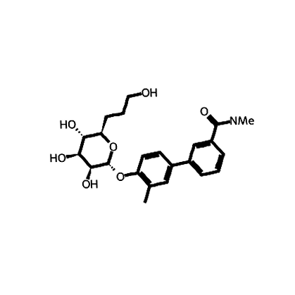 CNC(=O)c1cccc(-c2ccc(O[C@H]3O[C@H](CCCO)[C@@H](O)[C@H](O)[C@@H]3O)c(C)c2)c1